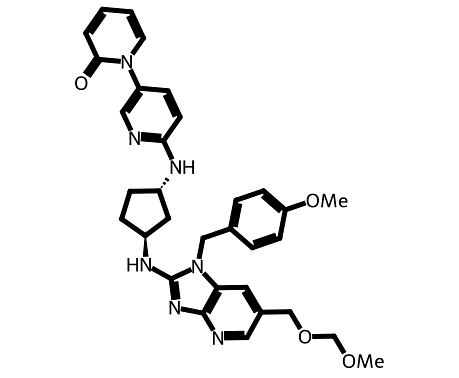 COCOCc1cnc2nc(N[C@H]3CC[C@H](Nc4ccc(-n5ccccc5=O)cn4)C3)n(Cc3ccc(OC)cc3)c2c1